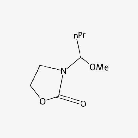 CCCC(OC)N1CCOC1=O